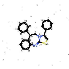 C1=C(c2ccccc2)N2CC(c3ccccc3)c3ccccc3N=C2S1